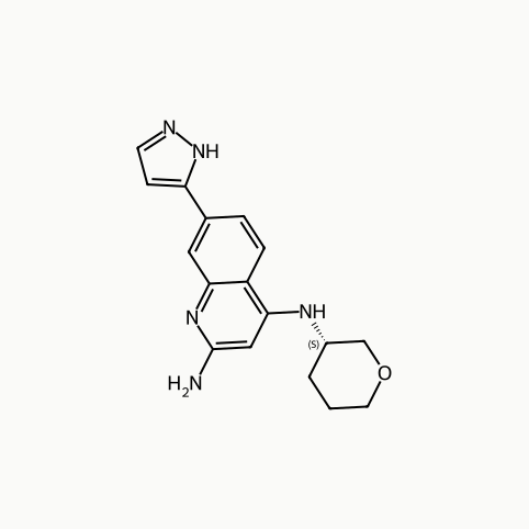 Nc1cc(N[C@H]2CCCOC2)c2ccc(-c3ccn[nH]3)cc2n1